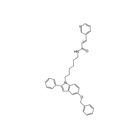 O=C(/C=C/c1cccnc1)NCCCCCCn1c(-c2ccccc2)cc2cc(OCc3ccccc3)ccc21